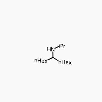 CCCCCCC(CCCCCC)NC(C)C